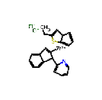 CCC1=CC2C=CC=C2S1.[Cl-].[Cl-].[Zr+2][C]1=Cc2ccccc2C1c1ccccn1